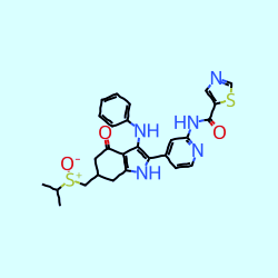 CC(C)[S+]([O-])CC1CC(=O)c2c([nH]c(-c3ccnc(NC(=O)c4cncs4)c3)c2Nc2ccccc2)C1